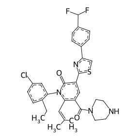 CCc1ccc(Cl)cc1-n1c(C=C(C)C)c(C(=O)N2CCNCC2)cc(-c2nc(-c3ccc(C(F)F)cc3)cs2)c1=O